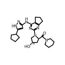 O=C(C1C[C@@H](O)CN1c1nc2c(c(Nc3cc(C4CCCC4)[nH]n3)n1)CCC2)N1CCCCC1